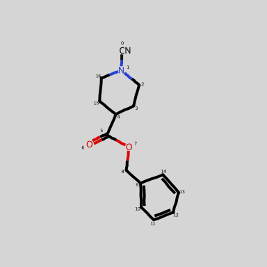 N#CN1CCC(C(=O)OCc2ccccc2)CC1